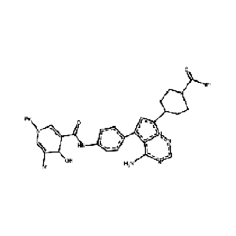 CC(C)C(=O)N1CCC(c2cc(-c3ccc(NC(=O)C4=CN(C(C)C)C=C(Br)C4O)cc3)c3c(N)ncnn23)CC1